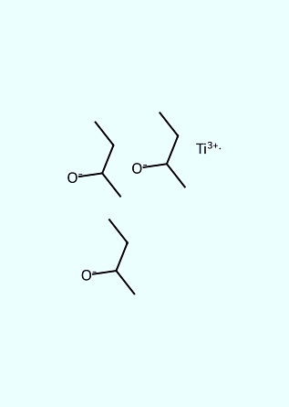 CCC(C)[O-].CCC(C)[O-].CCC(C)[O-].[Ti+3]